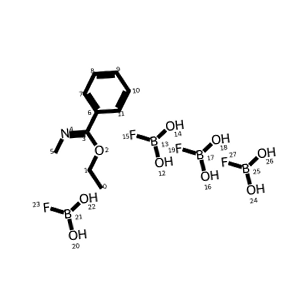 CCOC(=NC)c1ccccc1.OB(O)F.OB(O)F.OB(O)F.OB(O)F